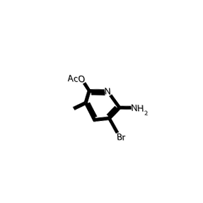 CC(=O)Oc1nc(N)c(Br)cc1C